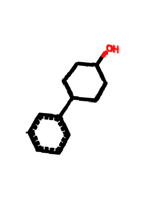 OC1CCC(c2c[c]ccc2)CC1